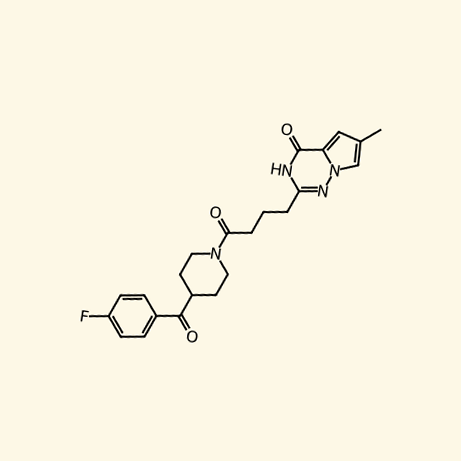 Cc1cc2c(=O)[nH]c(CCCC(=O)N3CCC(C(=O)c4ccc(F)cc4)CC3)nn2c1